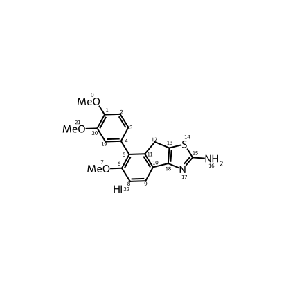 COc1ccc(-c2c(OC)ccc3c2Cc2sc(N)nc2-3)cc1OC.I